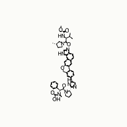 COC(=O)N[C@H](C(=O)N1C[C@@H](C)C[C@H]1c1nc2ccc3cc4c(cc3c2[nH]1)OCc1cc(-c2cnc([C@@H]3CCCN3C(=O)[C@@H](c3ccccc3)N(C)C(=O)O)[nH]2)ccc1-4)C(C)C